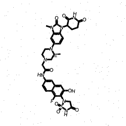 C[C@H]1CN(CC(=O)Nc2ccc3c(F)c(N4CC(=O)NS4(=O)=O)c(O)cc3c2)CCN1c1ccc2c(c1)n(C)c(=O)n2C1CCC(=O)NC1=O